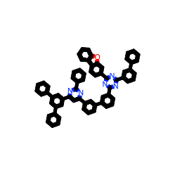 c1ccc(-c2cc(-c3ccccc3)cc(-c3cc(-c4cccc(-c5cccc(-c6nc(-c7cccc(-c8ccccc8)c7)nc(-c7ccc8c(c7)oc7ccccc78)n6)c5)c4)nc(-c4ccccc4)n3)c2)cc1